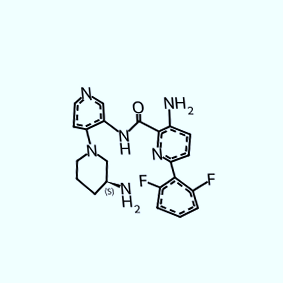 Nc1ccc(-c2c(F)cccc2F)nc1C(=O)Nc1cnccc1N1CCC[C@H](N)C1